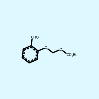 CCOC(=O)OCOc1ccccc1[C]=O